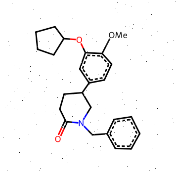 COc1ccc(C2CCC(=O)N(Cc3ccccc3)C2)cc1OC1CCCC1